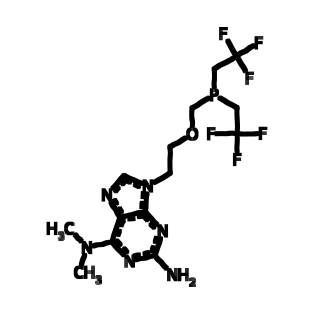 CN(C)c1nc(N)nc2c1ncn2CCOCP(CC(F)(F)F)CC(F)(F)F